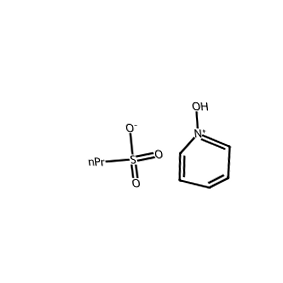 CCCS(=O)(=O)[O-].O[n+]1ccccc1